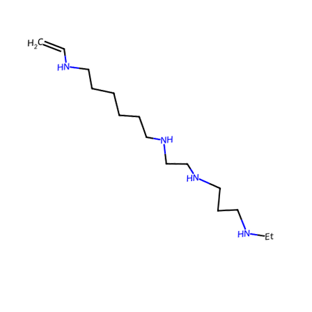 C=CNCCCCCCNCCNCCCNCC